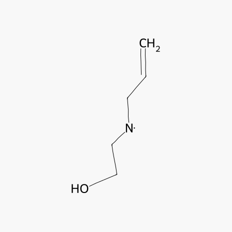 C=CC[N]CCO